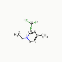 CCN1C=CC(C)=CC1.FC(F)F